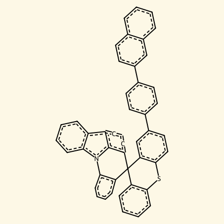 c1ccc2c(c1)Sc1ccc(-c3ccc(-c4ccc5ccccc5c4)cc3)cc1C21c2ccccc2-n2c3ccccc3c3cccc1c32